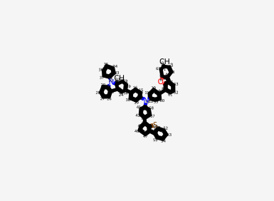 CC1C=Cc2c(oc3c(-c4ccc(N(c5ccc(C6=CCC7(C)C(=C6)c6ccccc6N7c6ccccc6)cc5)c5ccc(-c6cccc7c6sc6ccccc67)cc5)cc4)cccc23)C1